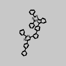 c1ccc(-c2ccc(-c3cc(-c4cccc(-c5ccc(-c6c7ccccc7c7nc(-c8ccccc8)nc(-c8ccccc8)n67)cc5)c4)nc(-c4ccccc4)n3)cc2)cc1